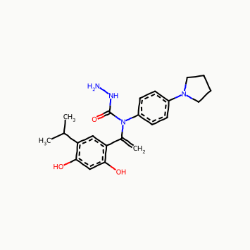 C=C(c1cc(C(C)C)c(O)cc1O)N(C(=O)NN)c1ccc(N2CCCC2)cc1